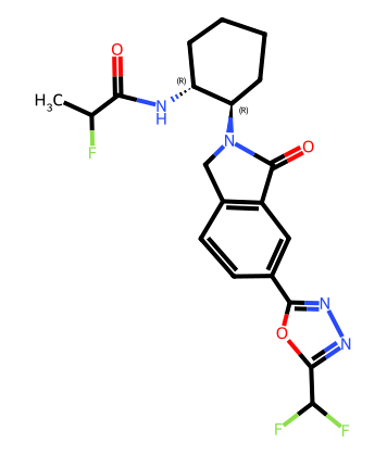 CC(F)C(=O)N[C@@H]1CCCC[C@H]1N1Cc2ccc(-c3nnc(C(F)F)o3)cc2C1=O